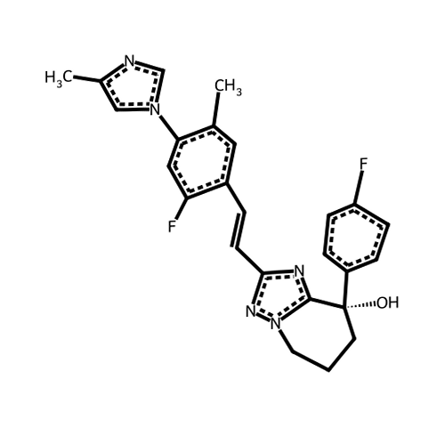 Cc1cn(-c2cc(F)c(/C=C/c3nc4n(n3)CCC[C@]4(O)c3ccc(F)cc3)cc2C)cn1